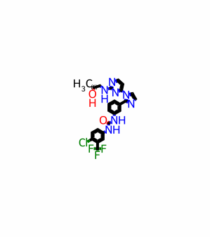 C[C@H](O)CNc1nccc(-n2ccnc2-c2cccc(NC(=O)Nc3ccc(Cl)c(C(F)(F)F)c3)c2)n1